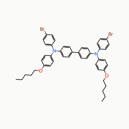 CCCCCOc1ccc(N(c2ccc(Br)cc2)c2ccc(-c3ccc(N(c4ccc(Br)cc4)c4ccc(OCCCCC)cc4)cc3)cc2)cc1